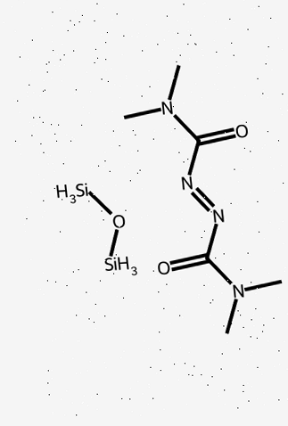 CN(C)C(=O)N=NC(=O)N(C)C.[SiH3]O[SiH3]